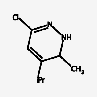 CC(C)C1=CC(Cl)=NNC1C